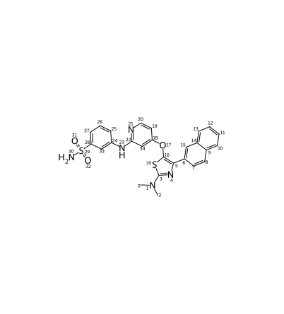 CN(C)c1nc(-c2ccc3ccccc3c2)c(Oc2ccnc(Nc3cccc(S(N)(=O)=O)c3)c2)s1